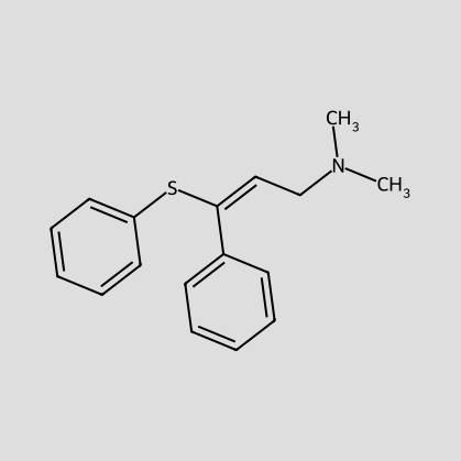 CN(C)CC=C(Sc1ccccc1)c1ccccc1